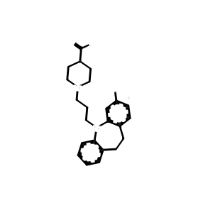 Cl.O=C(O)C1CCN(CCCN2c3ccccc3CCc3ccc(Cl)cc32)CC1